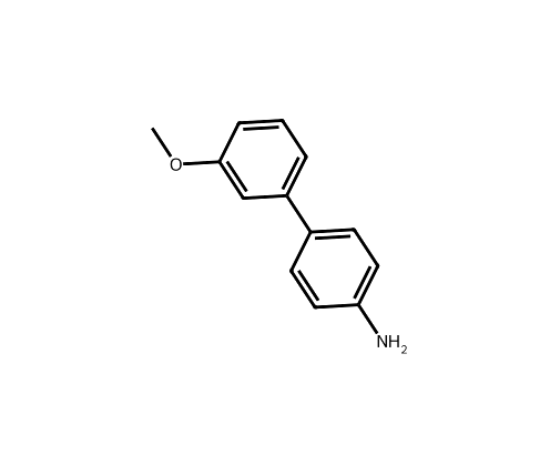 COc1cccc(-c2ccc(N)cc2)c1